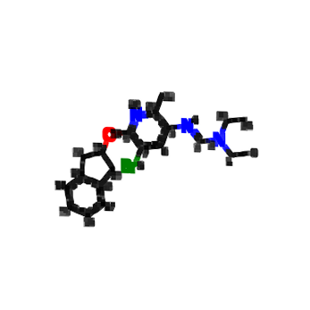 CCN(C=Nc1cc(Br)c(OC2Cc3ccccc3C2)nc1C)CC